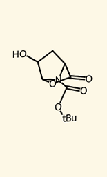 CC(C)(C)OC(=O)N1C2CC(O)C1OC2=O